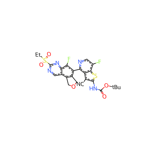 CCS(=O)(=O)c1ncc2c3c(c(-c4ncc(F)c5sc(NC(=O)OC(C)(C)C)c(C#N)c45)c(F)c2n1)COC3